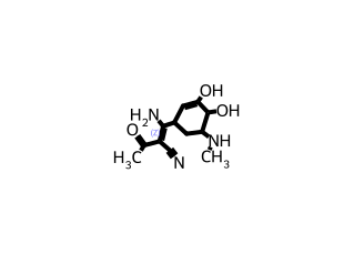 CNC1CC(/C(N)=C(\C#N)C(C)=O)C=C(O)C1O